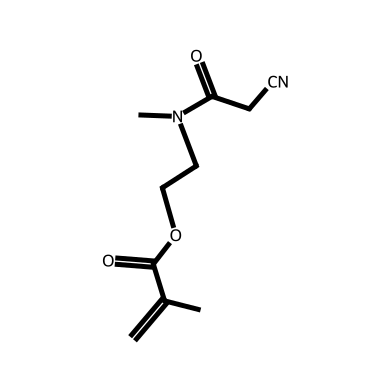 C=C(C)C(=O)OCCN(C)C(=O)CC#N